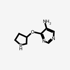 Nc1cncnc1OC1CBCC1